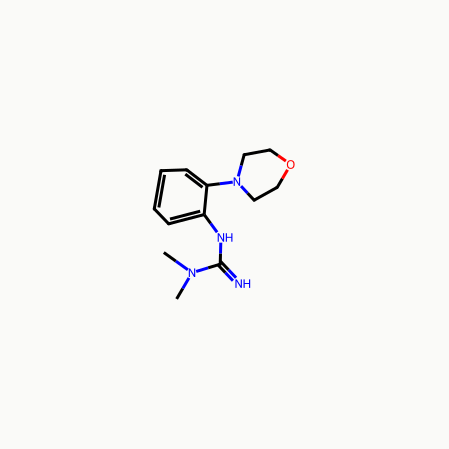 CN(C)C(=N)Nc1ccccc1N1CCOCC1